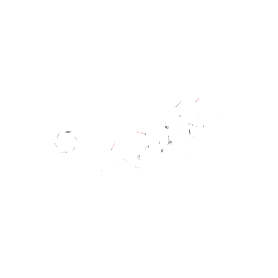 CC1(C)C(=O)C=C[C@]2(C)[C@H]3CC(=O)[C@@H]4[C@@H]5C[C@@](C)(C(=O)OCc6ccccc6)CC[C@]5(C)CC[C@@]4(C)[C@]3(C)CC[C@@H]12